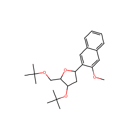 COc1cc2ccccc2cc1C1CC(OC(C)(C)C)C(COC(C)(C)C)O1